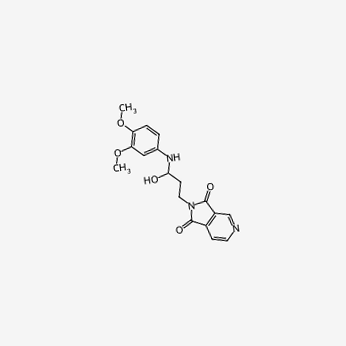 COc1ccc(NC(O)CCN2C(=O)c3ccncc3C2=O)cc1OC